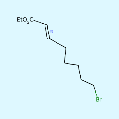 CCOC(=O)/C=C/CCCCCBr